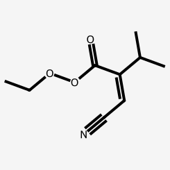 CCOOC(=O)/C(=C\C#N)C(C)C